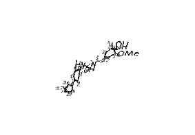 COc1cc(CCNCC(=O)Nc2ccc(-c3ccccc3)cc2)ccc1O